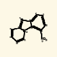 O=[N+]([O-])c1cccc2nc3ccccn3c12